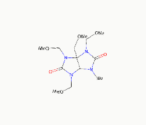 CCC(C)N1C(=O)N(COC)C2(COC)C1N(COC)C(=O)N2COC